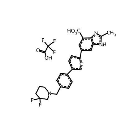 Cc1nc2c(C(=O)O)cc(-c3ccc(-c4ccc(CN5CCCC(F)(F)C5)cc4)cc3)cc2[nH]1.O=C(O)C(F)(F)F